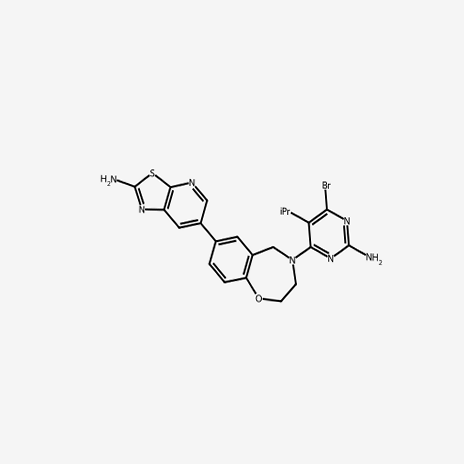 CC(C)c1c(Br)nc(N)nc1N1CCOc2ccc(-c3cnc4sc(N)nc4c3)cc2C1